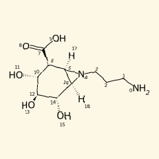 NCCCN1[C@@H]2[C@H](C(=O)O)[C@@H](O)[C@H](O)[C@@H](O)[C@@H]21